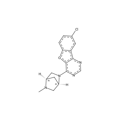 CN1C[C@H]2C[C@@H]1CN2c1ncnc2c1oc1ccc(Cl)cc12